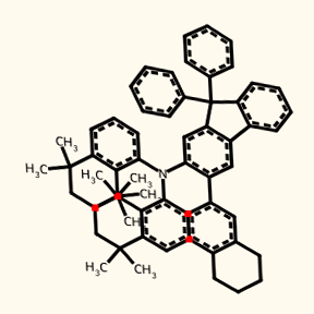 CC1(C)CCC(C)(C)c2c(N(c3cc4c(cc3-c3ccc5c(c3)CCCC5)-c3ccccc3C4(c3ccccc3)c3ccccc3)c3cccc4c3C(C)(C)CCC4(C)C)cccc21